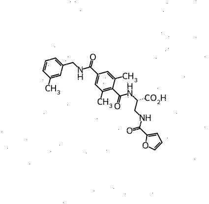 Cc1cccc(CNC(=O)c2cc(C)c(C(=O)N[C@@H](CNC(=O)c3ccco3)C(=O)O)c(C)c2)c1